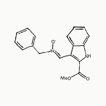 COC(=O)c1[nH]c2ccccc2c1C=[N+]([O-])Cc1ccccc1